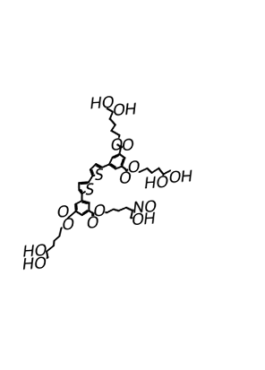 O=NC(CO)CCCCOC(=O)c1cc(C(=O)OCCCCC(O)CO)cc(-c2ccc(-c3ccc(-c4cc(C(=O)OCCCCC(O)CO)cc(C(=O)OCCCCC(O)CO)c4)s3)s2)c1